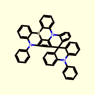 c1ccc(N2c3ccccc3C3(c4ccccc42)c2ccccc2N2c4ccccc4B4c5ccccc5N(c5ccccc5)c5ccc3c2c54)cc1